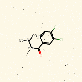 CC[C@@H](C(=O)O)[C@@H](C)C(=O)c1ccc(Cl)c(Cl)c1